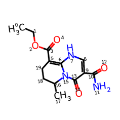 CCOC(=O)C1=C2NC=C(C(N)=O)C(=O)N2C(C)CC1